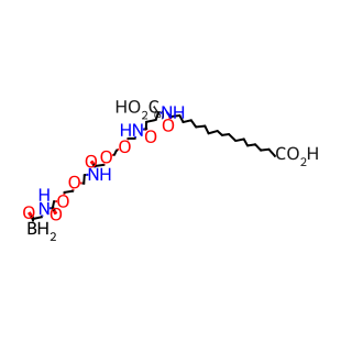 BC(=O)CNC(=O)COCCOCCNC(=O)COCCOCCNC(=O)CC[C@H](NC(=O)CCCCCCCCCCCCCCCCC(=O)O)C(=O)O